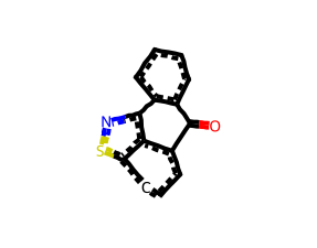 O=C1c2ccccc2-c2nsc3cccc1c23